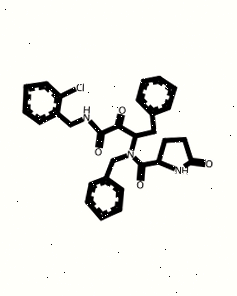 O=C1CCC(C(=O)N(Cc2ccccc2)C(Cc2ccccc2)C(=O)C(=O)NCc2ccccc2Cl)N1